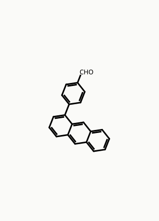 O=Cc1ccc(-c2cccc3cc4ccccc4cc23)cc1